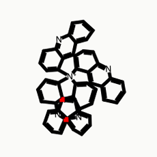 c1ccc2nc3cccc([N+](c4cccc5nc6ccccc6cc45)(c4cccc5nc6ccccc6cc45)c4cccc5nc6ccccc6cc45)c3cc2c1